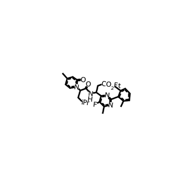 CCOC(=O)CC(NC(=O)C(CC(C)C)n1ccc(C)cc1=O)c1nc(-c2c(C)cccc2C)nc(C)c1F